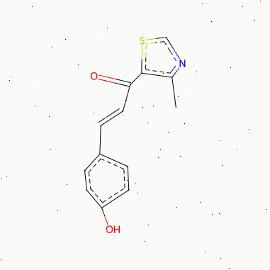 Cc1ncsc1C(=O)C=Cc1ccc(O)cc1